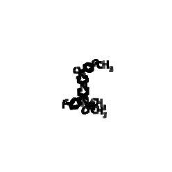 COc1ccc(C(=O)N2CCC(N3CCC4(CC3)CN(C(=O)N(C)C)c3ccc(F)cc34)CC2)cc1